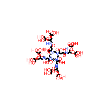 O=CN(CCC(C(=O)O)N1CCN(C(CCC(=O)NCC(COC(CO)CO)COC(CO)CO)C(=O)O)CCN(C(CCC(=O)NCC(COC(CO)CO)COC(CO)CO)C(=O)O)CCN(C(CCN(C=O)CC(COC(CO)CO)COC(CO)CO)C(=O)O)CC1)CC(COC(CO)CO)COC(CO)CO